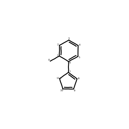 Cc1ccccc1C1=CC=C[CH]1